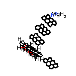 C1C2[C@@H]3[C@H]4[C@@H]5[C@H]6C[C@@H]7C[C@@]89C[C@@]%10%11C[C@@H]%12C[C@H]%13[C@@H]%14[C@H]%15[C@H]2[C@]2%16C[C@H]1C[C@]31C[C@@]5(C7)[C@H]8[C@@]([C@H]%10[C@@]%14(C%12)C2)([C@@H]1%16)[C@]4%15[C@@H]([C@@H]69)[C@H]%13%11.[MgH2].[N-3].c1cc2ccc3cc4cccc5ccc6cc(c1)c2c3c6c54.c1cc2ccc3cc4cccc5ccc6cc(c1)c2c3c6c54.c1cc2ccc3cc4cccc5ccc6cc(c1)c2c3c6c54.c1cc2ccc3cc4cccc5ccc6cc(c1)c2c3c6c54